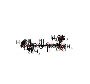 COC(=O)CC(NC(=O)[C@H](COCCOCCOCCNC(=O)NCCCCNC(=O)NCCOCCOCCOC[C@H](NC(=O)CCCCN(C(=O)OC(C)(C)C)c1ccccn1)C(=O)NC(CC(=O)OC)c1cc(Cl)cc(Cl)c1)NC(=O)CCCCN(C(=O)OC(C)(C)C)c1ccccn1)c1cc(Cl)cc(Cl)c1